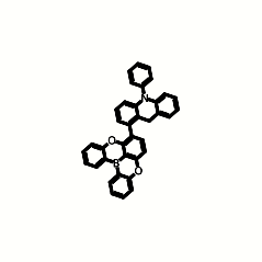 c1ccc(N2c3ccccc3Cc3c(-c4ccc5c6c4Oc4ccccc4B6c4ccccc4O5)cccc32)cc1